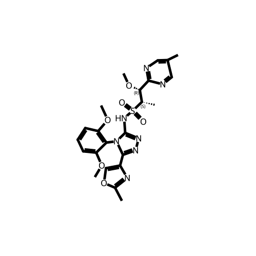 COc1cccc(OC)c1-n1c(NS(=O)(=O)[C@@H](C)[C@H](OC)c2ncc(C)cn2)nnc1-c1coc(C)n1